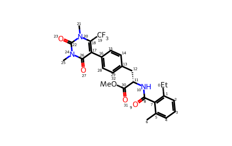 CCc1cccc(C)c1C(=O)N[C@@H](Cc1ccc(-c2c(C(F)(F)F)n(C)c(=O)n(C)c2=O)cc1)C(=O)OC